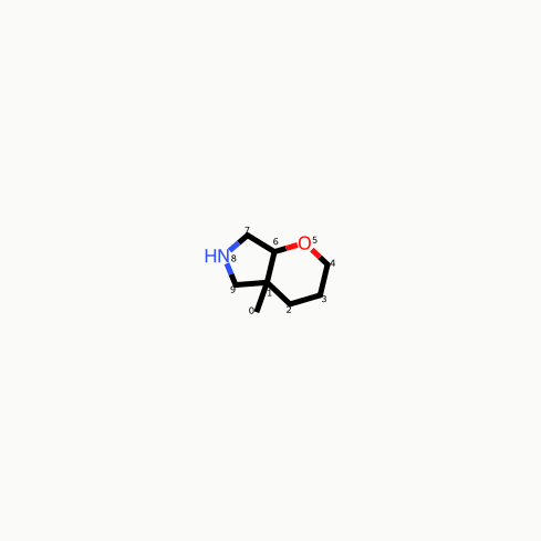 CC12CCCOC1CNC2